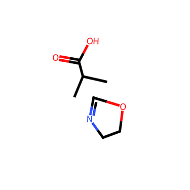 C1=NCCO1.CC(C)C(=O)O